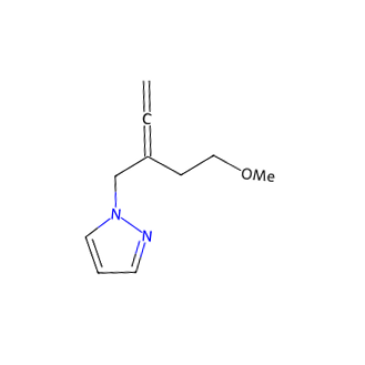 C=C=C(CCOC)Cn1cccn1